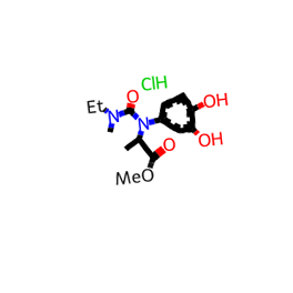 CCN(C)C(=O)N(c1ccc(O)c(O)c1)C(C)C(=O)OC.Cl